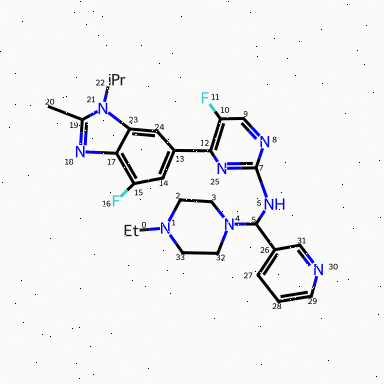 CCN1CCN(C(Nc2ncc(F)c(-c3cc(F)c4nc(C)n(C(C)C)c4c3)n2)c2cccnc2)CC1